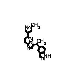 CC(c1ccc2[nH]ncc2c1)c1cnc2ccc(-c3cnn(C)c3)nn12